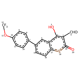 O=[C]c1c(O)c2cc(-c3ccc(OC(F)(F)F)cc3)ccc2sc1=O